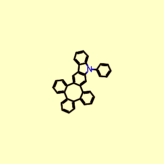 c1ccc(-n2c3ccccc3c3cc4c(cc32)-c2ccccc2-c2ccccc2-c2ccccc2-4)cc1